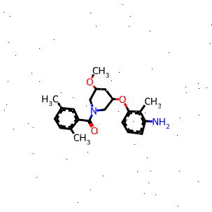 COC1CC(Oc2cccc(N)c2C)CN(C(=O)c2cc(C)ccc2C)C1